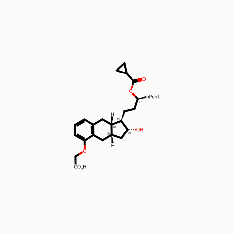 CCCCC[C@@H](CC[C@@H]1[C@H]2Cc3cccc(OCC(=O)O)c3C[C@H]2C[C@H]1O)OC(=O)C1CC1